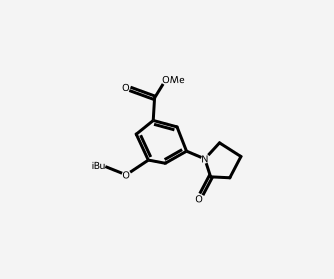 CCC(C)Oc1cc(C(=O)OC)cc(N2CCCC2=O)c1